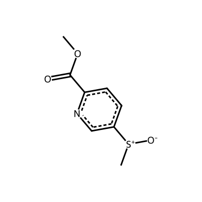 COC(=O)c1ccc([S+](C)[O-])cn1